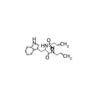 C=CCNC(=O)C(Cc1c[nH]c2ccccc12)NS(=O)(=O)CC=C